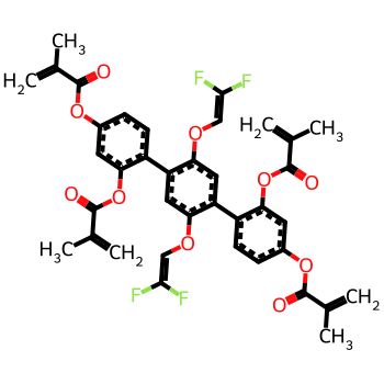 C=C(C)C(=O)Oc1ccc(-c2cc(OC=C(F)F)c(-c3ccc(OC(=O)C(=C)C)cc3OC(=O)C(=C)C)cc2OC=C(F)F)c(OC(=O)C(=C)C)c1